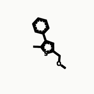 COCc1cc(-c2ccccc2)c(C)s1